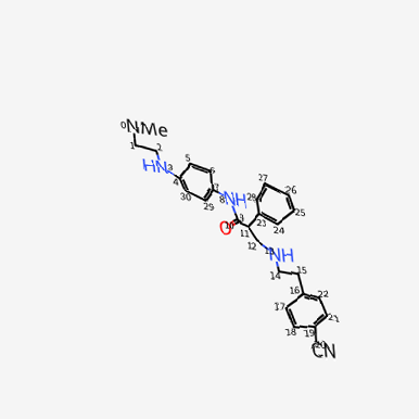 CNCCNc1ccc(NC(=O)C(CNCCc2ccc(C#N)cc2)c2ccccc2)cc1